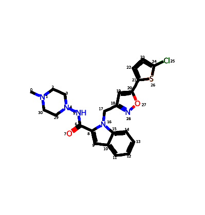 CN1CCN(NC(=O)c2cc3ccccc3n2Cc2cc(C3=C=C=C(Cl)S3)on2)CC1